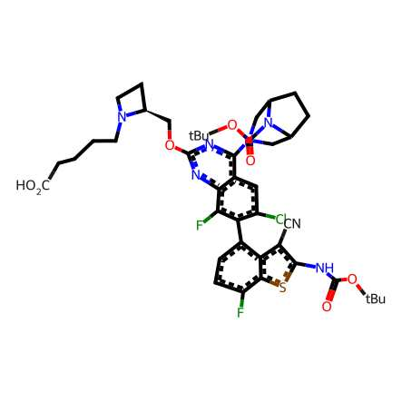 CC(C)(C)OC(=O)Nc1sc2c(F)ccc(-c3c(Cl)cc4c(N5CC6CCC(C5)N6C(=O)OC(C)(C)C)nc(OC[C@@H]5CCN5CCCCC(=O)O)nc4c3F)c2c1C#N